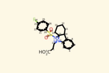 O=C(O)CCN1c2ccccc2C2CCCCC21NS(=O)(=O)c1ccc(F)cc1